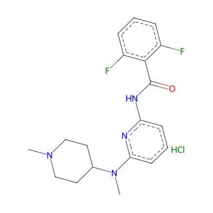 CN1CCC(N(C)c2cccc(NC(=O)c3c(F)cccc3F)n2)CC1.Cl